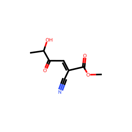 COC(=O)C(C#N)=CC(=O)C(C)O